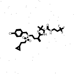 C=C(CCN(Cc1ccc(Cl)cc1)S(=O)(=O)CCC1CC1)C1=NC(C)(C)[C@H](C(=O)NCCC(F)(F)F)N1